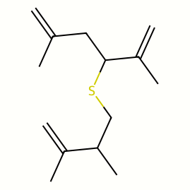 C=C(C)CC(SCC(C)C(=C)C)C(=C)C